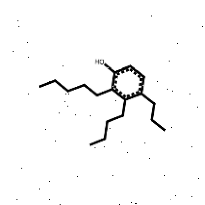 CCCCCc1c(O)ccc(CCC)c1CCCC